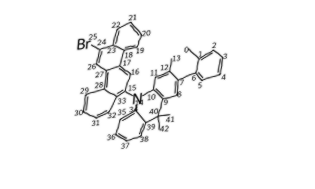 Cc1ccccc1-c1cc2c(cc1C)N(c1cc3c4ccccc4c(Br)cc3c3ccccc13)c1ccccc1C2(C)C